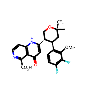 COc1c([C@@H]2C[C@](C)(C(F)(F)F)OC[C@H]2c2cc(=O)c3c(C(=O)O)nccc3[nH]2)ccc(F)c1F